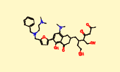 CC(=O)CC(=O)C(CO)C(CCO)CC1CC(=O)c2c(O)c(-c3ccc(CN(CCN(C)C)Cc4ccccc4)o3)cc(N(C)C)c2C1